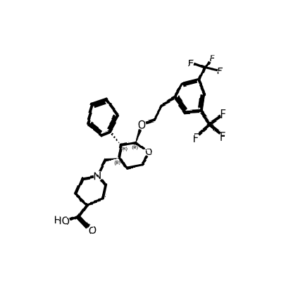 O=C(O)C1CCN(C[C@@H]2CCO[C@H](OCCc3cc(C(F)(F)F)cc(C(F)(F)F)c3)[C@H]2c2ccccc2)CC1